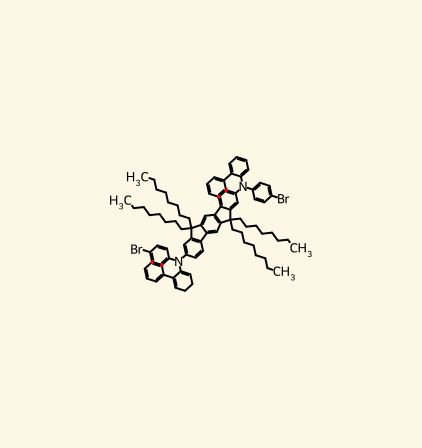 CCCCCCCCC1(CCCCCCCC)c2cc(N(C3=CCCC=C3c3ccccc3)c3ccc(Br)cc3)ccc2-c2cc3c(cc21)-c1ccc(N(c2ccc(Br)cc2)c2ccccc2-c2ccccc2)cc1C3(CCCCCCCC)CCCCCCCC